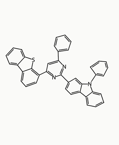 c1ccc(-c2cc(-c3cccc4c3sc3ccccc34)nc(-c3ccc4c5ccccc5n(-c5ccccc5)c4c3)n2)cc1